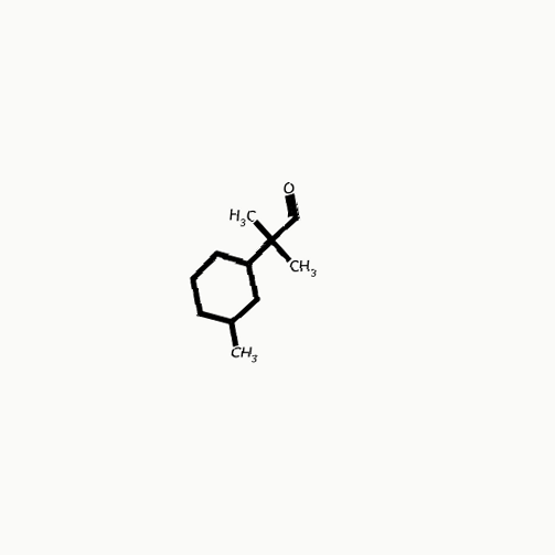 CC1CCCC(C(C)(C)C=O)C1